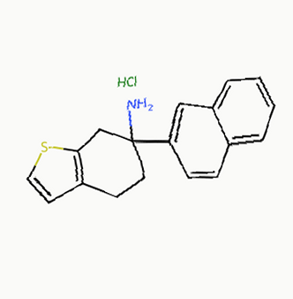 Cl.NC1(c2ccc3ccccc3c2)CCc2ccsc2C1